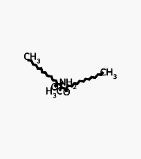 CCCCCCCCCCCCCC(=O)C(C)C(N)C(=O)CCCCCCCCCCCCC